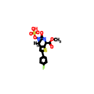 COC(=O)C1c2sc(-c3ccc(F)cc3)cc2[C@H]2CN1C(=O)N2OS(=O)(=O)O